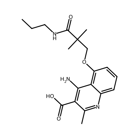 CCCNC(=O)C(C)(C)COc1cccc2nc(C)c(C(=O)O)c(N)c12